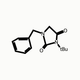 CC(C)(C)N1C(=O)CN(Cc2ccccc2)C1=O